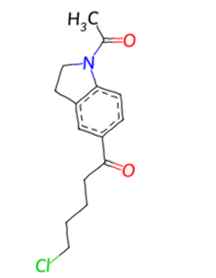 CC(=O)N1CCc2cc(C(=O)CCCCCl)ccc21